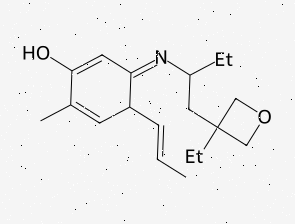 CC=CC1C=C(C)C(O)=C/C1=N/C(CC)CC1(CC)COC1